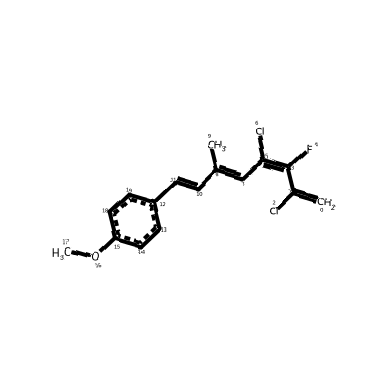 C=C(Cl)\C(F)=C(Cl)/C=C(C)/C=C/c1ccc(OC)cc1